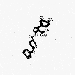 O=C(Nc1scc(-c2ccc(Cl)c(Cl)c2)c1C(=O)O)c1ccc(Oc2ccccc2)nc1